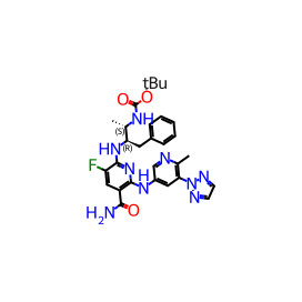 Cc1ncc(Nc2nc(N[C@H](Cc3ccccc3)[C@H](C)NC(=O)OC(C)(C)C)c(F)cc2C(N)=O)cc1-n1nccn1